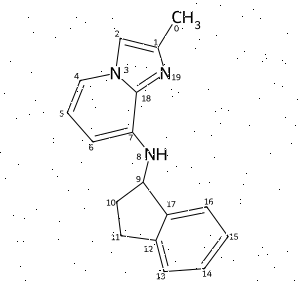 Cc1cn2cccc(NC3CCc4ccccc43)c2n1